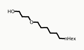 CCCCCCCCCCCCOCCCO